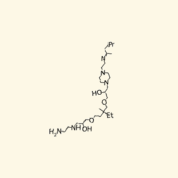 CC[C@](C)(CCOCC(O)CNCCN)COCC(O)CN1CCN(CC/N=C(\C)CC(C)C)CC1